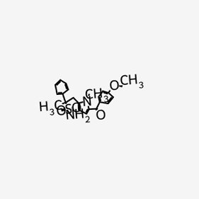 CCOc1ccc(C(=O)c2ccc(CC(C)(c3ccccc3)S(N)(=O)=O)n2C)cc1